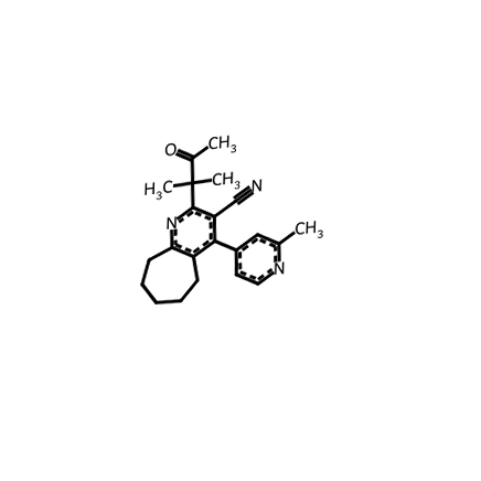 CC(=O)C(C)(C)c1nc2c(c(-c3ccnc(C)c3)c1C#N)CCCCC2